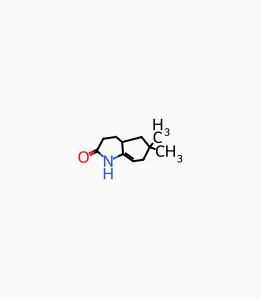 CC1(C)CC=C2NC(=O)CCC2C1